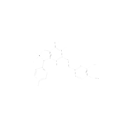 COc1ccc(CNc2c(C)c(C)c3c(c2C)C(c2ccc(C)cc2)C(C)(C)O3)cc1OC